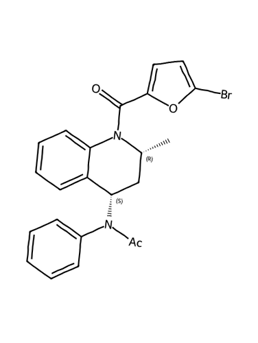 CC(=O)N(c1ccccc1)[C@H]1C[C@@H](C)N(C(=O)c2ccc(Br)o2)c2ccccc21